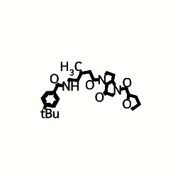 CC(CCNC(=O)c1ccc(C(C)(C)C)cc1)CC(=O)N1CCC2C1C(=O)CN2C(=O)C1CCCO1